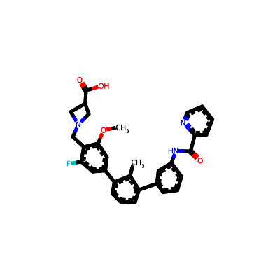 COc1cc(-c2cccc(-c3cccc(NC(=O)c4ccccn4)c3)c2C)cc(F)c1CN1CC(C(=O)O)C1